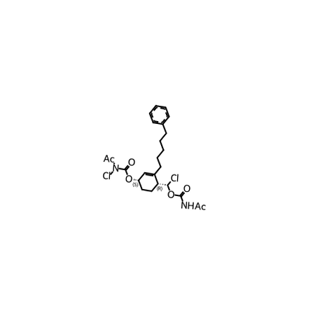 CC(=O)NC(=O)OC(Cl)[C@@H]1CC[C@H](OC(=O)N(Cl)C(C)=O)C=C1CCCCCc1ccccc1